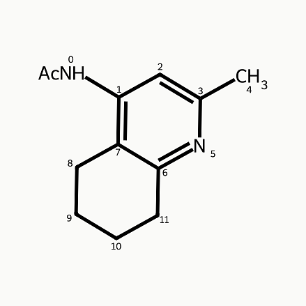 CC(=O)Nc1cc(C)nc2c1CCCC2